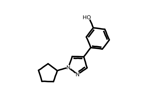 Oc1cccc(-c2cnn(C3CCCC3)c2)c1